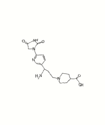 NC(CCN1CCC(C(=O)O)CC1)c1ccc(N2CC(=O)NC2=O)nc1